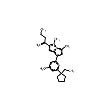 C=C(CCC)c1cc2c(-c3cc(C)cc(C4(CC)CCCC4)n3)cc(C)n2n1C